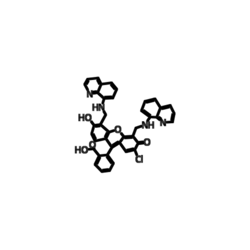 O=C(O)c1ccccc1-c1c2cc(Cl)c(=O)c(CNc3cccc4cccnc34)c-2oc2c(CNc3cccc4cccnc34)c(O)ccc12